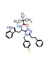 CC(C)(N)C(=O)N[C@H](Cc1c[nH]c2ccccc12)c1nnc(CCc2ccccc2)n1Cc1ccc(F)cc1